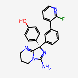 NC1=N[C@](c2ccc(O)cc2)(c2cccc(-c3cccnc3F)c2)C2=NCCCN12